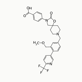 COCc1cc(CN2CCC3(CC2)CN(c2ccc(C(=O)O)cc2)C(=O)O3)ccc1-c1ccc(C(F)(F)F)nc1